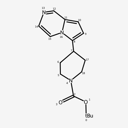 CC(C)(C)OC(=O)N1CCC(c2ccc3cnccn23)CC1